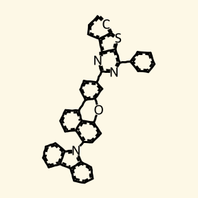 c1ccc(-c2nc(-c3ccc4c(c3)Oc3ccc(-n5c6ccccc6c6ccccc65)c5cccc-4c35)nc3c2sc2ccccc23)cc1